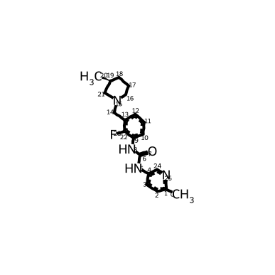 Cc1ccc(NC(=O)Nc2cccc(CN3CCC[C@H](C)C3)c2F)cn1